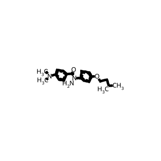 CC(C)CCOc1ccc(N(N)C(=O)c2ccc(N(C)C)cc2)cc1